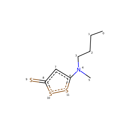 CCCCN(C)c1cc(=S)ss1